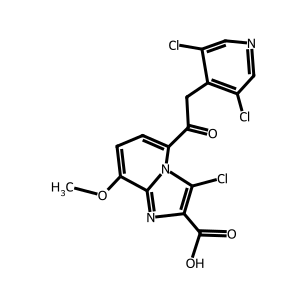 COc1ccc(C(=O)Cc2c(Cl)cncc2Cl)n2c(Cl)c(C(=O)O)nc12